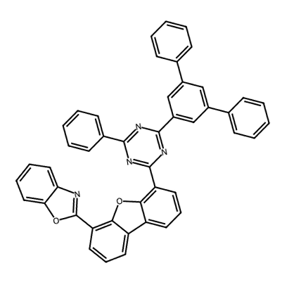 c1ccc(-c2cc(-c3ccccc3)cc(-c3nc(-c4ccccc4)nc(-c4cccc5c4oc4c(-c6nc7ccccc7o6)cccc45)n3)c2)cc1